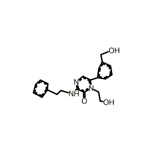 O=c1c(NCCc2ccccc2)ncc(-c2cccc(CO)c2)n1CCO